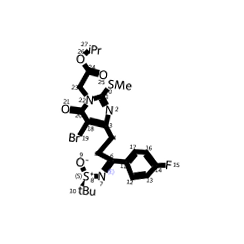 CSc1nc(CC/C(=N\[S@+]([O-])C(C)(C)C)c2ccc(F)cc2)c(Br)c(=O)n1CC(=O)OC(C)C